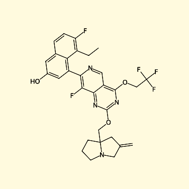 C=C1CN2CCCC2(COc2nc(OCC(F)(F)F)c3cnc(-c4cc(O)cc5ccc(F)c(CC)c45)c(F)c3n2)C1